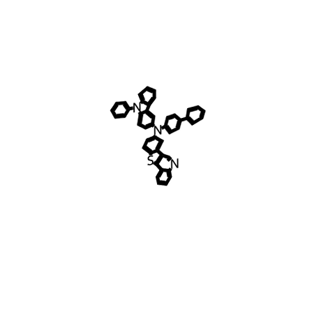 c1ccc(-c2ccc(N(c3ccc4sc5c6ccccc6ncc5c4c3)c3ccc4c(c3)c3ccccc3n4-c3ccccc3)cc2)cc1